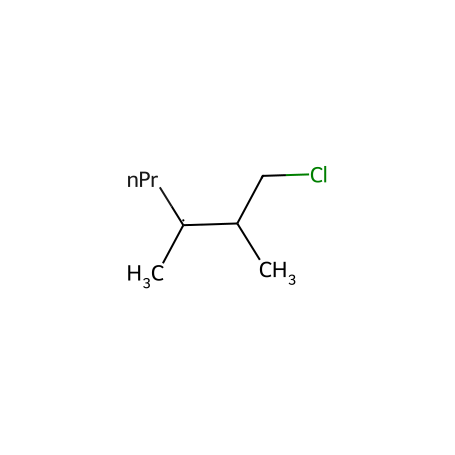 CCC[C](C)C(C)CCl